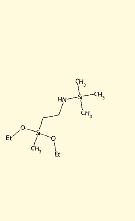 CCO[Si](C)(CCN[Si](C)(C)C)OCC